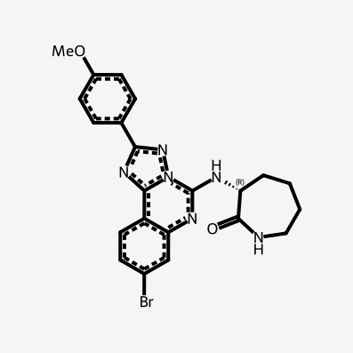 COc1ccc(-c2nc3c4ccc(Br)cc4nc(N[C@@H]4CCCCNC4=O)n3n2)cc1